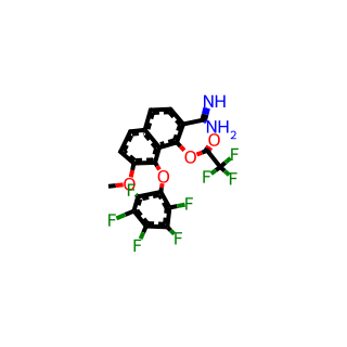 COc1ccc2ccc(C(=N)N)c(OC(=O)C(F)(F)F)c2c1Oc1c(F)c(F)c(F)c(F)c1F